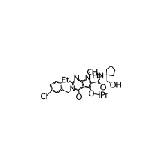 CCc1nc2c(c(OC(C)C)c(C(=O)NC3(CO)CCCC3)n2C)c(=O)n1Cc1cccc(Cl)c1